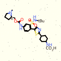 CN1CCC[C@@H]1COC(=O)Nc1ccc(-c2cnc(C3CCC(NC(=O)O)CC3)s2)c(S(=O)(=O)NC(C)(C)C)c1